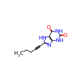 CCCC#Cc1nc2[nH]c(=O)[nH]c(=O)c2[nH]1